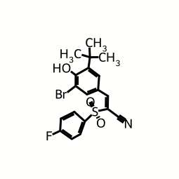 CC(C)(C)c1cc(C=C(C#N)S(=O)(=O)c2ccc(F)cc2)cc(Br)c1O